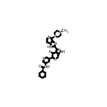 CN1CCN(c2nccc3[nH]c(-c4n[nH]c5cnc(-c6cncc(NC(=O)c7ccccc7)c6)c(F)c45)nc23)CC1